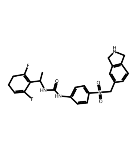 CC(NC(=O)Nc1ccc(S(=O)(=O)Cc2ccc3c(c2)CNC3)cc1)C1=C(F)CCC=C1F